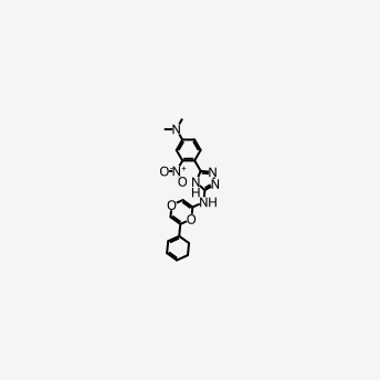 CN(C)c1ccc(-c2nnc(NC3=COC=C(C4=CC=CCC4)O3)[nH]2)c([N+](=O)[O-])c1